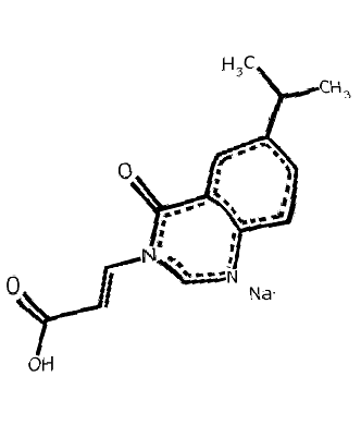 CC(C)c1ccc2ncn(C=CC(=O)O)c(=O)c2c1.[Na]